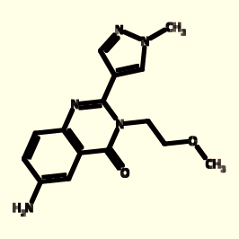 COCCn1c(-c2cnn(C)c2)nc2ccc(N)cc2c1=O